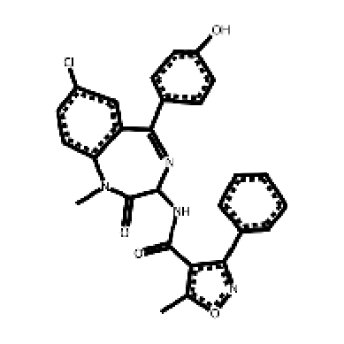 Cc1onc(-c2ccccc2)c1C(=O)NC1N=C(c2ccc(O)cc2)c2cc(Cl)ccc2N(C)C1=O